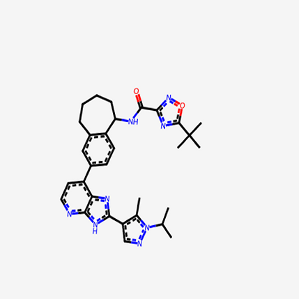 Cc1c(-c2nc3c(-c4ccc5c(c4)CCCCC5NC(=O)c4noc(C(C)(C)C)n4)ccnc3[nH]2)cnn1C(C)C